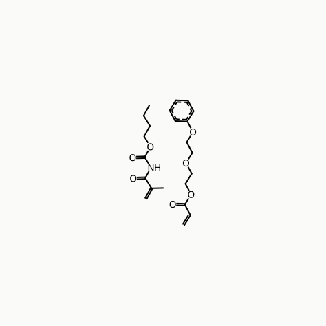 C=C(C)C(=O)NC(=O)OCCCC.C=CC(=O)OCCOCCOc1ccccc1